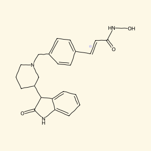 O=C(/C=C/c1ccc(CN2CCCC(C3C(=O)Nc4ccccc43)C2)cc1)NO